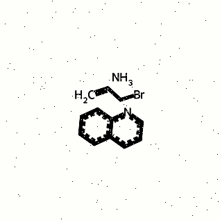 C=CCBr.N.c1ccc2ncccc2c1